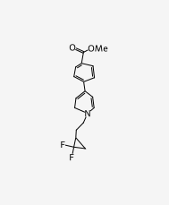 COC(=O)c1ccc(C2=CCN(CCC3CC3(F)F)C=C2)cc1